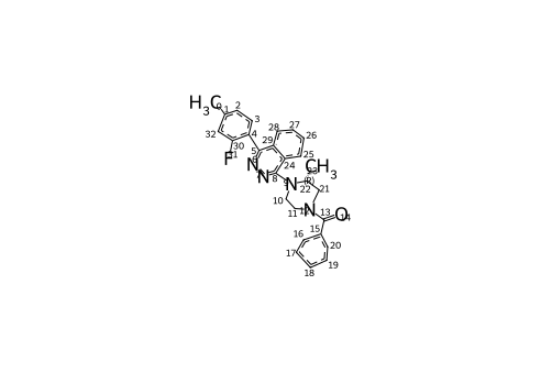 Cc1ccc(-c2nnc(N3CCN(C(=O)c4ccccc4)C[C@H]3C)c3ccccc23)c(F)c1